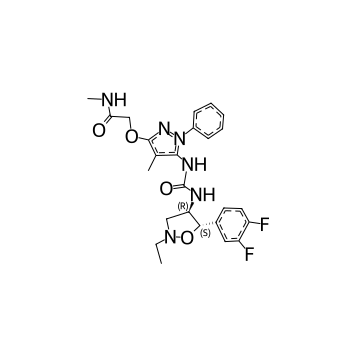 CCN1C[C@@H](NC(=O)Nc2c(C)c(OCC(=O)NC)nn2-c2ccccc2)[C@H](c2ccc(F)c(F)c2)O1